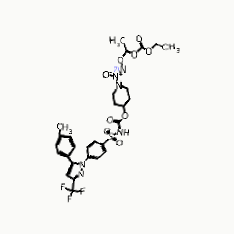 CCOC(=O)OC(C)O/N=[N+](\[O-])N1CCC(OC(=O)NS(=O)(=O)c2ccc(-n3nc(C(F)(F)F)cc3-c3ccc(C)cc3)cc2)CC1